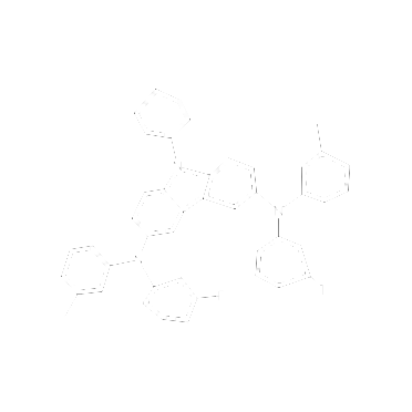 CCc1cccc(N(c2cccc(C)c2)c2ccc3c(c2)c2cc(N(c4cccc(C)c4)c4cccc(CC)c4)ccc2n3-c2ccccc2)c1